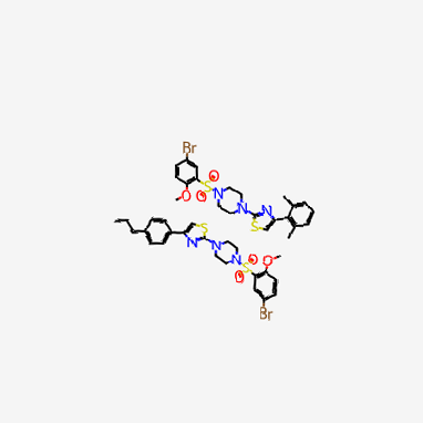 CCCc1ccc(-c2csc(N3CCN(S(=O)(=O)c4cc(Br)ccc4OC)CC3)n2)cc1.COc1ccc(Br)cc1S(=O)(=O)N1CCN(c2nc(-c3c(C)cccc3C)cs2)CC1